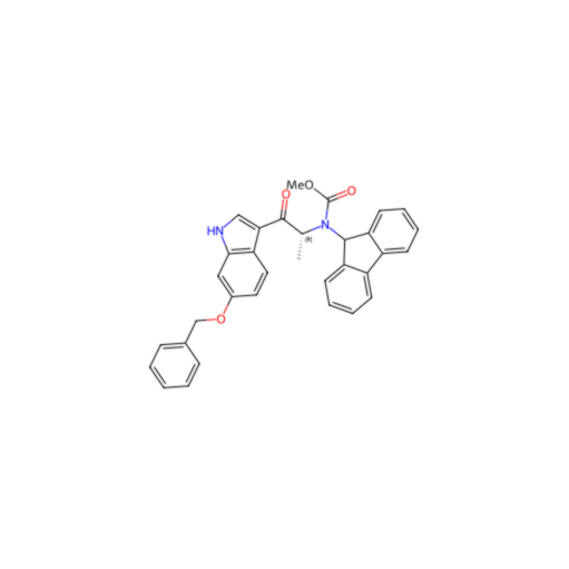 COC(=O)N(C1c2ccccc2-c2ccccc21)[C@H](C)C(=O)c1c[nH]c2cc(OCc3ccccc3)ccc12